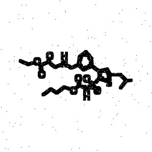 CCCCOC(=O)NS(=O)(=O)c1sc(CC(C)C)cc1-c1cccc(CNCC(=O)C(=O)OCC)c1